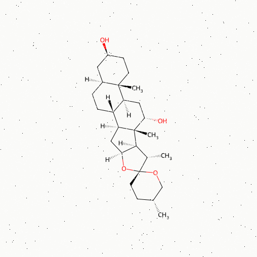 C[C@@H]1CC[C@@]2(OC1)O[C@H]1C[C@H]3[C@@H]4CC[C@H]5C[C@@H](O)CC[C@]5(C)[C@H]4C[C@H](O)[C@]3(C)[C@H]1[C@@H]2C